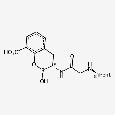 CCC[C@H](C)NCC(=O)N[C@H]1Cc2cccc(C(=O)O)c2OB1O